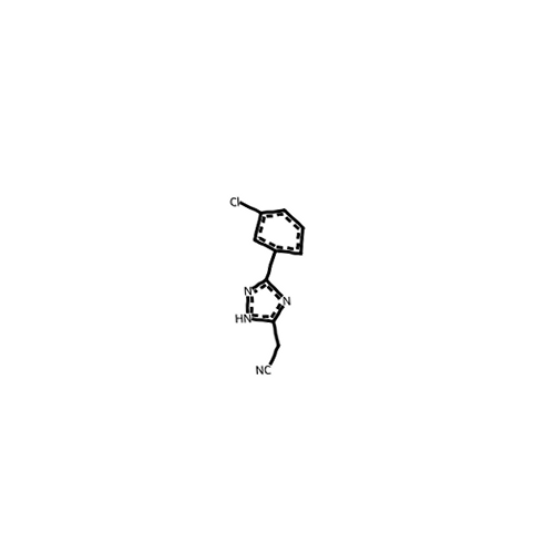 N#CCc1nc(-c2cccc(Cl)c2)n[nH]1